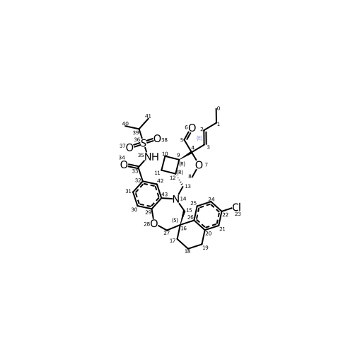 CC/C=C/C(C=O)(OC)[C@@H]1CC[C@H]1CN1C[C@@]2(CCCc3cc(Cl)ccc32)COc2ccc(C(=O)NS(=O)(=O)C(C)C)cc21